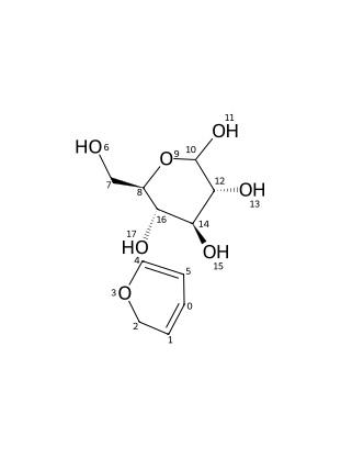 C1=CCOC=C1.OC[C@H]1OC(O)[C@H](O)[C@@H](O)[C@@H]1O